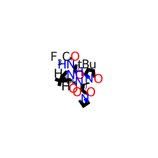 CC(C)(C)[C@H](NC(=O)C(F)(F)F)C(=O)N1C[C@H]2[C@@H]([C@H]1C(=O)N[C@@H](CN1CCCC1=O)C(=O)C(=O)N1CCC1)C2(C)C